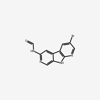 O=CNc1cc2c(cn1)[nH]c1ncc(Br)cc12